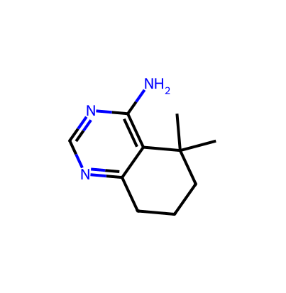 CC1(C)CCCc2ncnc(N)c21